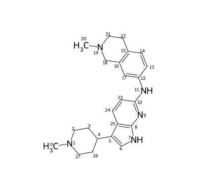 CN1CCC(c2c[nH]c3nc(Nc4ccc5c(c4)CN(C)CC5)ccc23)CC1